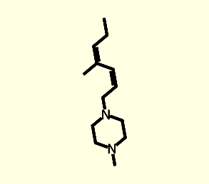 CC/C=C(C)\C=C/CN1CCN(C)CC1